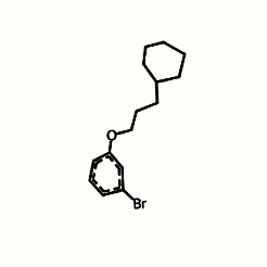 Brc1cccc(OCCCC2CCCCC2)c1